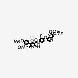 COc1ccc(-c2c(C)nc(C)c(C(=O)Nc3ccc(Oc4ccnc5cc(OC)c(OC)nc45)c(F)c3)c2O)c(OC)c1